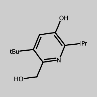 CC(C)c1nc(CO)c(C(C)(C)C)cc1O